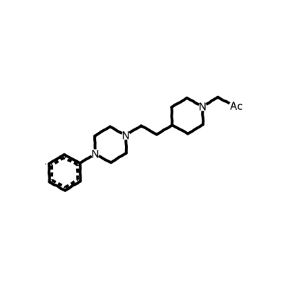 CC(=O)CN1CCC(CCN2CCN(c3c[c]ccc3)CC2)CC1